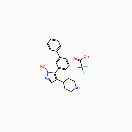 O=C(O)C(F)(F)F.On1ncc(C2CCNCC2)c1-c1cccc(-c2ccccc2)c1